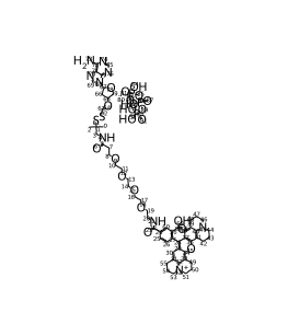 CC(C)(CNC(=O)CCOCCOCCOCCOCCNC(=O)c1ccc(C2=c3cc4c5c(c3Oc3c2cc2c6c3CCCN6CCC2)CCC[N+]=5CCC4)c(C(=O)O)c1)SSCOC1C[C@H](n2cnc3c(N)ncnc32)O[C@@H]1COP(=O)(O)OP(=O)(O)OP(=O)(O)O